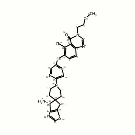 COCCn1cnc2ccc(Sc3cnc(N4CCC5(CC4)Cc4scnc4[C@@H]5N)cn3)c(Cl)c2c1=O